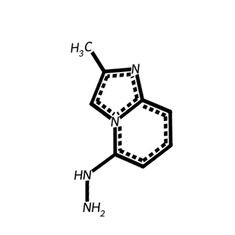 Cc1cn2c(NN)cccc2n1